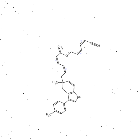 C#C/C=C\C=C/COC(=C)/C=C\C=C/CC1(C)C=Nc2[nH]cc(-c3ccc(C)cc3)c2C1